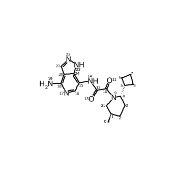 C[C@@H]1CC[C@@H](C2CCC2)N(C(=O)C(=O)Nc2cnc(N)c3cn[nH]c23)C1